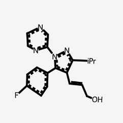 CC(C)c1nn(-c2cnccn2)c(-c2ccc(F)cc2)c1C=CCO